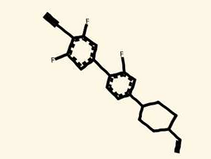 C#Cc1c(F)cc(-c2ccc(C3CCC(C=C)CC3)cc2F)cc1F